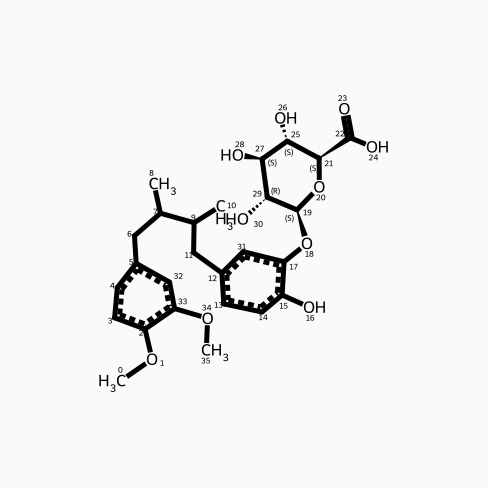 COc1ccc(CC(C)C(C)Cc2ccc(O)c(O[C@@H]3O[C@H](C(=O)O)[C@@H](O)[C@H](O)[C@H]3O)c2)cc1OC